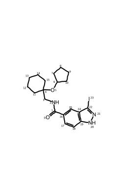 O=C(NCC1(OC2CCCC2)CCCCC1)c1ccc2[nH]nc(I)c2c1